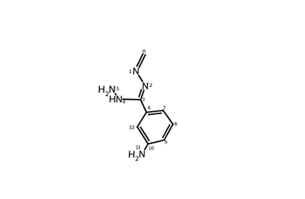 C=N/N=C(\NN)c1cccc(N)c1